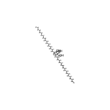 CCCCCCCCCCCCCCCCCCCCOC(CCCCCCCCCCCCCCCCCCCC)C(CO)(CO)CO